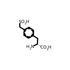 N[C@H](Cc1ccc(CS(=O)(=O)O)cc1)C(=O)O